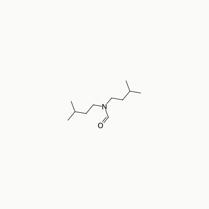 CC(C)CCN(C=O)CCC(C)C